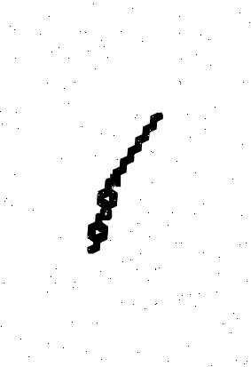 CCCCCCCCCCCCN=Cc1ccc(OCc2ccc(CC)cc2)cc1